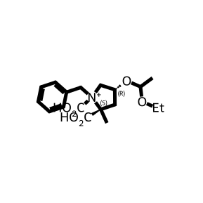 CCOC(C)O[C@@H]1C[C@@](C)(C(=O)O)[N+](Cc2ccccc2)(C(=O)O)C1